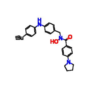 CC(C)(C)c1ccc(Nc2ccc(CN(O)C(=O)c3ccc(N4CCCC4)cc3)cc2)cc1